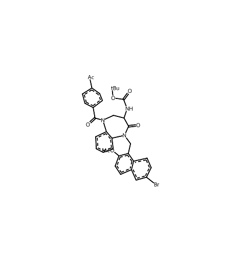 COc1ccc2cc(Br)ccc2c1CN1C(=O)C(NC(=O)OC(C)(C)C)CN(C(=O)c2ccc(C(C)=O)cc2)c2ccccc21